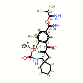 C=C(CC1(CNC(=O)OC(C)(C)C)CCCCC1)C(=O)c1cc(C(=N)OC(=N)C(F)F)cc(F)c1CC